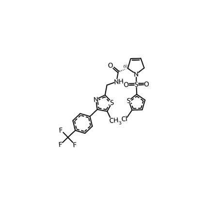 Cc1sc(CNC(=O)[C@@H]2C=CCN2S(=O)(=O)c2ccc(Cl)s2)nc1-c1ccc(C(F)(F)F)cc1